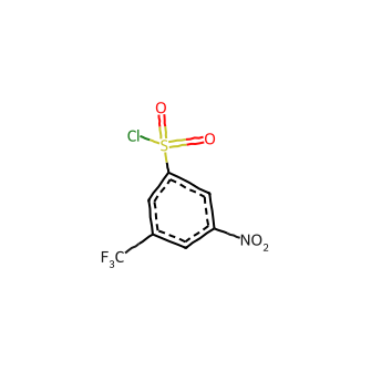 O=[N+]([O-])c1cc(C(F)(F)F)cc(S(=O)(=O)Cl)c1